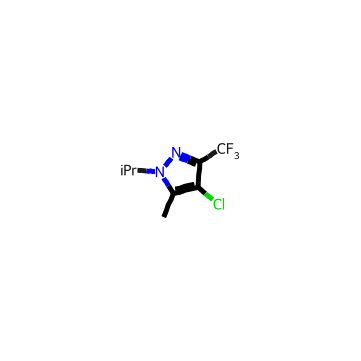 Cc1c(Cl)c(C(F)(F)F)nn1C(C)C